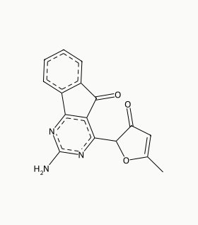 CC1=CC(=O)C(c2nc(N)nc3c2C(=O)c2ccccc2-3)O1